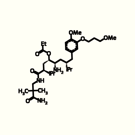 CCC(=O)O[C@@H](C[C@H](C(=O)NCC(C)(C)C(N)=O)C(C)C)[C@@H](N)C[C@H](Cc1ccc(OC)c(OCCCOC)c1)C(C)C